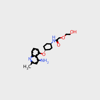 Cc1cc(N)c2c(O[C@H]3CC[C@H](NC(=O)COCCO)CC3)cccc2n1